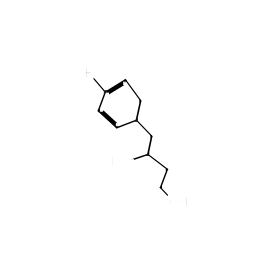 CCCC(O)CC1C=CC(F)=CC1